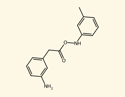 Cc1cccc(NOC(=O)Cc2cccc(N)c2)c1